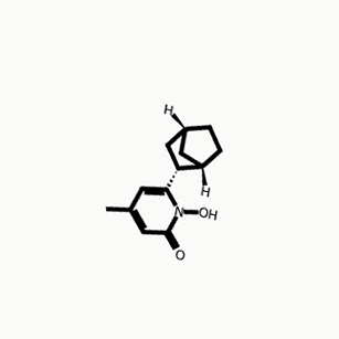 Cc1cc([C@@H]2C[C@@H]3CC[C@H]2C3)n(O)c(=O)c1